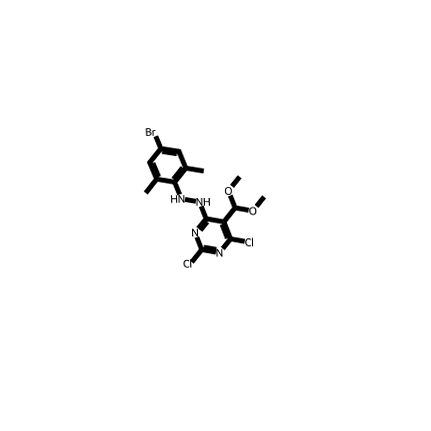 COC(OC)c1c(Cl)nc(Cl)nc1NNc1c(C)cc(Br)cc1C